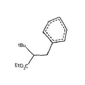 CCOC(=O)C(Cc1ccccc1)C(C)(C)C